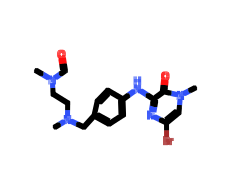 CN(C=O)CCN(C)Cc1ccc(Nc2nc(Br)cn(C)c2=O)cc1